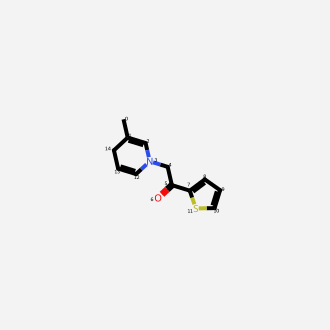 CC1=CN(CC(=O)c2cccs2)C=CC1